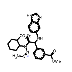 C=C(C(Nc1ccc2[nH]cnc2c1)c1cccc(C(=O)OC)c1)N(/N=N\N)C1CCCCC1C(=O)OCC